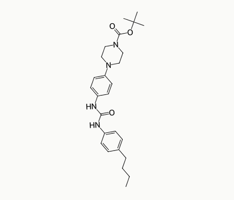 CCCCc1ccc(NC(=O)Nc2ccc(N3CCN(C(=O)OC(C)(C)C)CC3)cc2)cc1